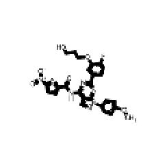 COc1ccc(-n2ncc3c(NC(=O)c4ccc([N+](=O)[O-])s4)nc(-c4ccc(F)c(OCCCO)c4)nc32)cc1